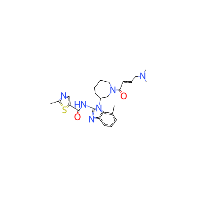 Cc1ncc(C(=O)Nc2nc3cccc(C)c3n2C2CCCCN(C(=O)/C=C/CN(C)C)C2)s1